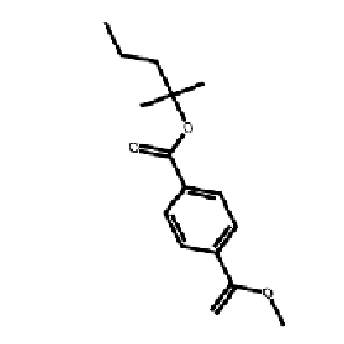 C=C(OC)c1ccc(C(=O)OC(C)(C)CCC)cc1